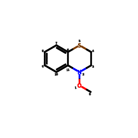 CON1CCSc2ccccc21